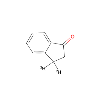 [2H]C1([2H])CC(=O)c2ccccc21